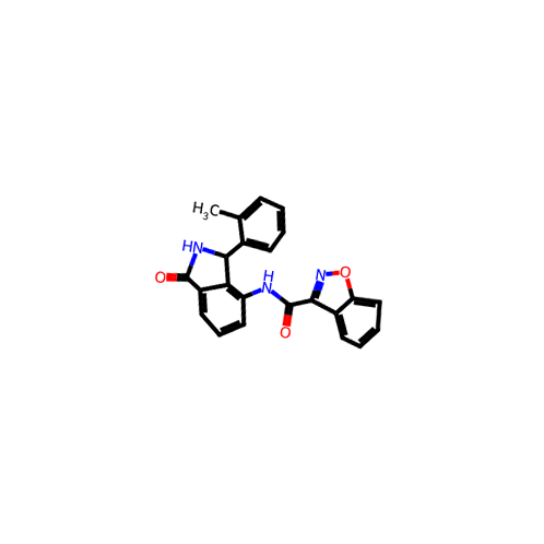 Cc1ccccc1C1NC(=O)c2cccc(NC(=O)c3noc4ccccc34)c21